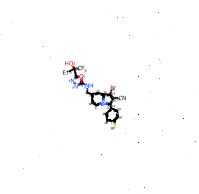 CCC(O)(c1nnc(NCc2ccn3c(-c4ccc(F)cc4)c(C#N)c(Br)c3c2)o1)C(F)(F)F